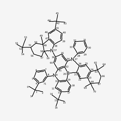 CC(C)(C)c1cccc(N2c3cc(C(C)(C)C)ccc3B3c4cc5c(cc4N(c4ccccc4)c4cc(N6c7ccc(C(C)(C)C)cc7C7(C)CC(C(C)(C)C)CCC67C)cc2c43)C(C)(C)CCC5(C)C)c1